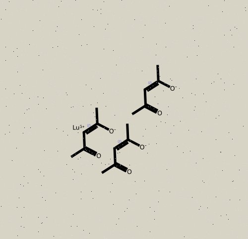 CC(=O)/C=C(/C)[O-].CC(=O)/C=C(/C)[O-].CC(=O)/C=C(/C)[O-].[Lu+3]